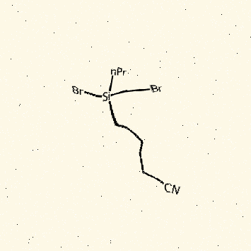 CCC[Si](Br)(Br)CCCC#N